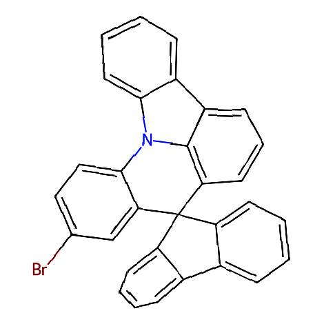 Brc1ccc2c(c1)C1(c3ccccc3-c3ccccc31)c1cccc3c4ccccc4n-2c13